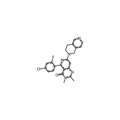 Cc1nc2cc(N3CCc4cnccc4C3)nc(-c3ccc(Cl)cc3F)c2c(=O)n1C